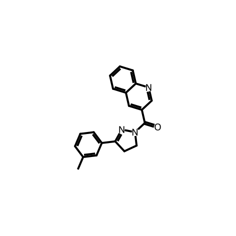 Cc1cccc(C2=NN(C(=O)c3cnc4ccccc4c3)CC2)c1